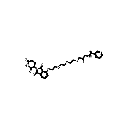 O=C1CCC(N2C(=O)c3cccc(NCCOCCOCCOCC(F)CNC(=O)c4cccnc4)c3C2=O)C(=O)N1